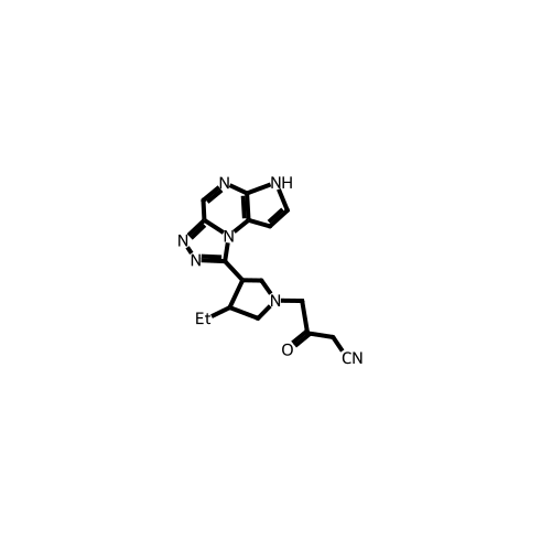 CCC1CN(CC(=O)CC#N)CC1c1nnc2cnc3[nH]ccc3n12